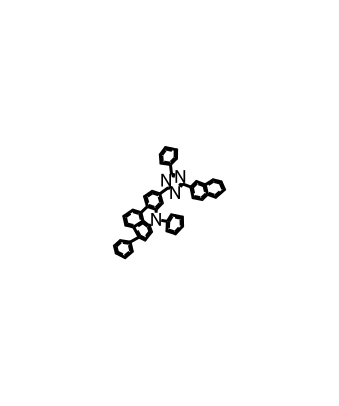 c1ccc(-c2nc(-c3ccc4c(c3)N(c3ccccc3)c3ccc(-c5ccccc5)c5cccc-4c35)nc(-c3ccc4ccccc4c3)n2)cc1